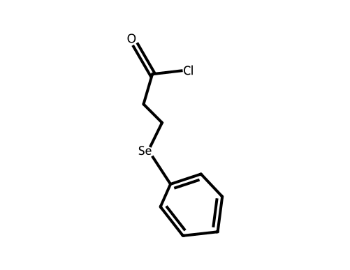 O=C(Cl)CC[Se]c1ccccc1